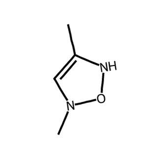 CC1=CN(C)ON1